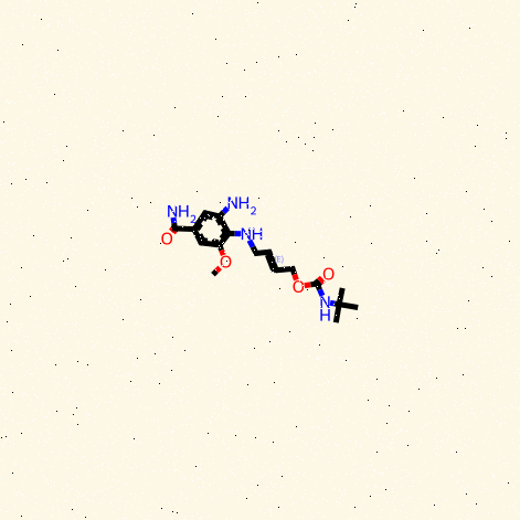 COc1cc(C(N)=O)cc(N)c1NC/C=C/COC(=O)NC(C)(C)C